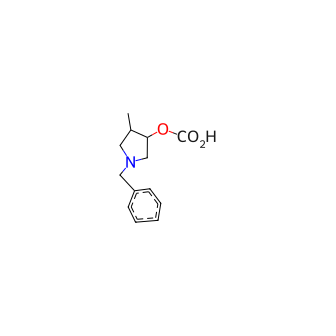 CC1CN(Cc2ccccc2)CC1OC(=O)O